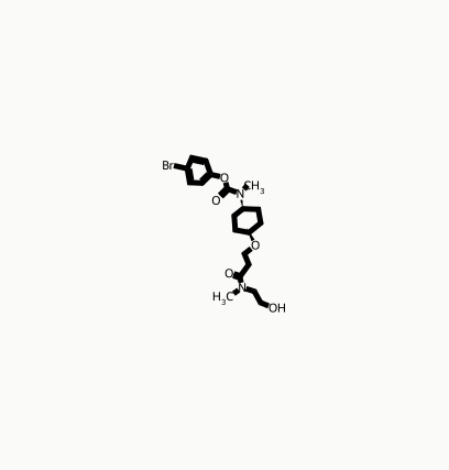 CN(CCO)C(=O)CCO[C@H]1CC[C@H](N(C)C(=O)Oc2ccc(Br)cc2)CC1